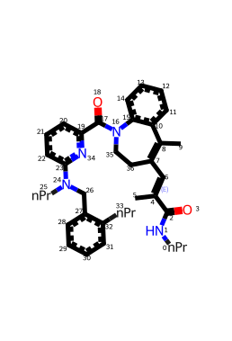 CCCNC(=O)/C(C)=C/C1=C(C)c2ccccc2N(C(=O)c2cccc(N(CCC)Cc3ccccc3CCC)n2)CC1